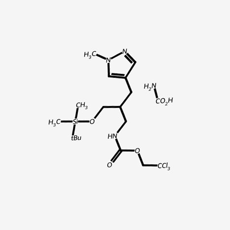 Cn1cc(CC(CNC(=O)OCC(Cl)(Cl)Cl)CO[Si](C)(C)C(C)(C)C)cn1.NC(=O)O